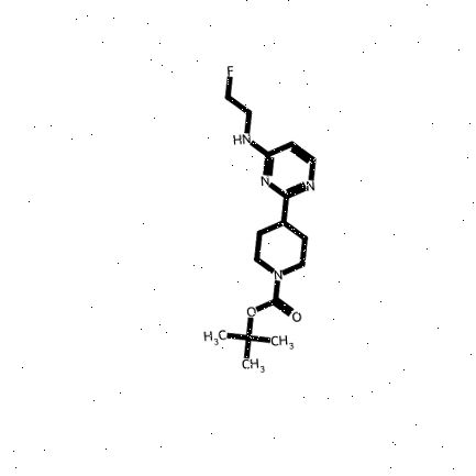 CC(C)(C)OC(=O)N1CCC(c2nccc(NCCF)n2)CC1